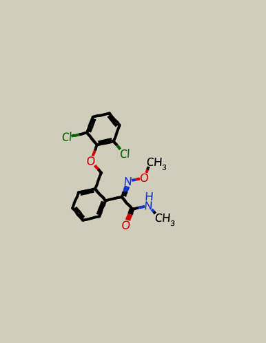 CNC(=O)C(=NOC)c1ccccc1COc1c(Cl)cccc1Cl